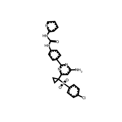 Nc1cc(C2(S(=O)(=O)c3ccc(Cl)cc3)CC2)nc(-c2ccc(NC(=O)Nc3ccccn3)cc2)n1